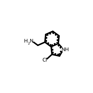 NCc1cccc2[nH]cc(Cl)c12